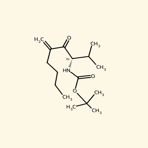 C=C(CCCC)C(=O)[C@@H](NC(=O)OC(C)(C)C)C(C)C